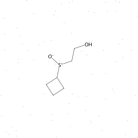 [O-][S+](CCO)C1CCC1